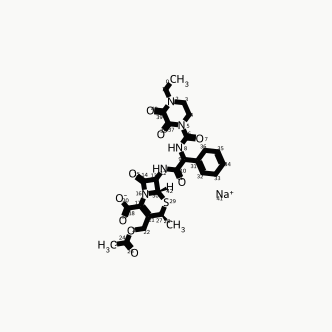 CCN1CCN(C(=O)NC(C(=O)NC2C(=O)N3C(C(=O)[O-])=C(COC(C)=O)[C@H](C)S[C@@H]23)C2=CCC=CC2)C(=O)C1=O.[Na+]